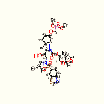 CCOP(=O)(COc1ccc(C[C@H](NC(=O)O[C@H]2CO[C@H]3OCC[C@H]32)[C@H](O)CN(CC(CC)CC)S(=O)(=O)c2ccc3ncsc3c2)cc1)OCC